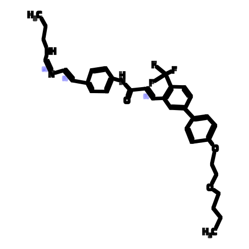 CCCCOCCOc1ccc(-c2ccc(C(F)(F)F)c(/C=C/C(=O)Nc3ccc(/C=C/N=C\NCCC)cc3)c2)cc1